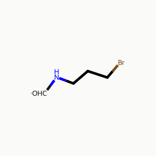 O=[C]NCCCBr